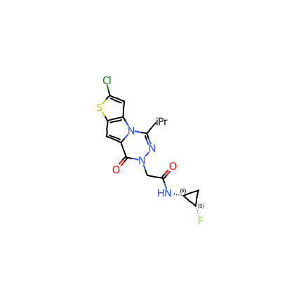 CC(C)c1nn(CC(=O)N[C@@H]2C[C@@H]2F)c(=O)c2cc3sc(Cl)cc3n12